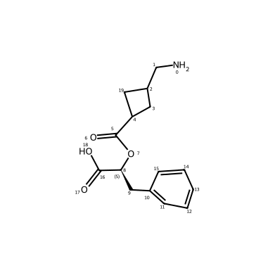 NCC1CC(C(=O)O[C@@H](Cc2ccccc2)C(=O)O)C1